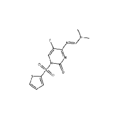 CN(C)/C=N/c1nc(=O)n(S(=O)(=O)c2cccs2)cc1F